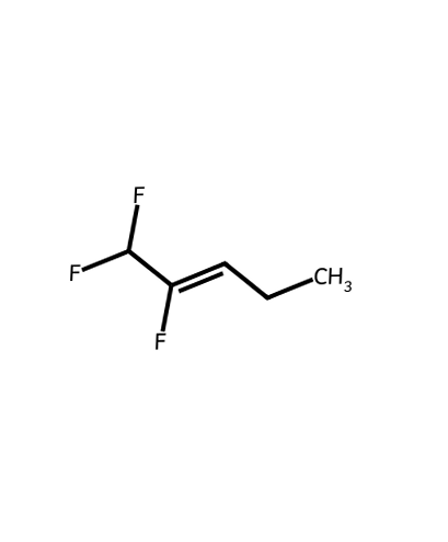 CCC=C(F)C(F)F